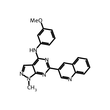 COc1cccc(Nc2nc(-c3cnc4ccccc4c3)nc3c2cnn3C)c1